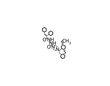 CSc1ccc2c(c1)C(N1CCN(C(=O)NCNC(=O)/C(=C/c3ccccc3)c3ccccc3)CC1)Cc1ccccc1S2